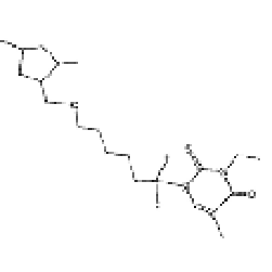 CCn1c(=O)c(C)cn(C(F)(F)CCCCCOCC2CC(C)CC2C)c1=S